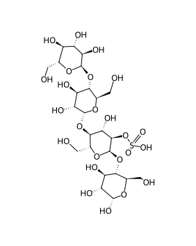 O=S(=O)(O)O[C@H]1[C@@H](O[C@H]2[C@H](O)[C@@H](O)[C@@H](O)O[C@@H]2CO)O[C@H](CO)[C@@H](O[C@H]2O[C@H](CO)[C@@H](O[C@H]3O[C@H](CO)[C@@H](O)[C@H](O)[C@H]3O)[C@H](O)[C@H]2O)[C@@H]1O